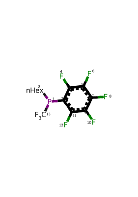 CCCCCCP(c1c(F)c(F)c(F)c(F)c1F)C(F)(F)F